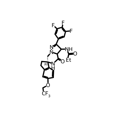 CCC(=O)NC1C(c2cc(F)c(F)c(F)c2)=NN2C[C@]3(CCc4cc(OCC(F)(F)F)ccc43)NC(=O)C12